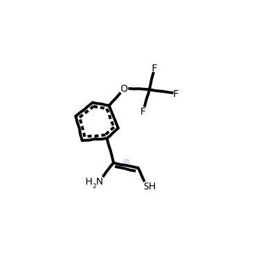 N/C(=C\S)c1cccc(OC(F)(F)F)c1